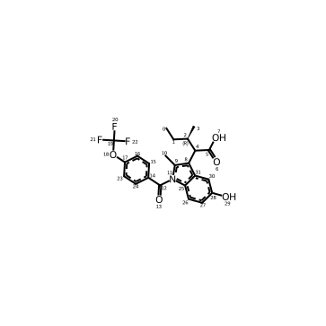 CC[C@@H](C)C(C(=O)O)c1c(C)n(C(=O)c2ccc(OC(F)(F)F)cc2)c2ccc(O)cc12